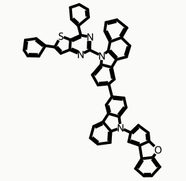 C1=CC(c2nc(-n3c4ccc(-c5ccc6c(c5)c5ccccc5n6-c5ccc6oc7ccccc7c6c5)cc4c4ccc5ccccc5c43)nc3cc(-c4ccccc4)sc23)=CCC1